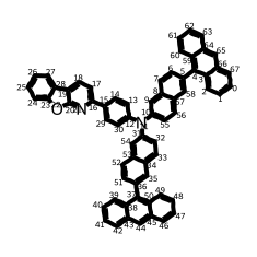 c1ccc2c(-c3ccc4cc(N(c5ccc(-c6ccc7c(n6)oc6ccccc67)cc5)c5ccc6cc(-c7c8ccccc8cc8ccccc78)ccc6c5)ccc4c3)c3ccccc3cc2c1